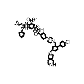 CN(C)CC[C@H](CSc1ccccc1)Nc1ccc(S(=O)(=O)NC(=O)c2ccc(N3CCN(Cc4cc(CN5CCC6(CCNCC6)CC5)ccc4-c4ccc(Cl)cc4)CC3)cc2)cc1[N+](=O)[O-]